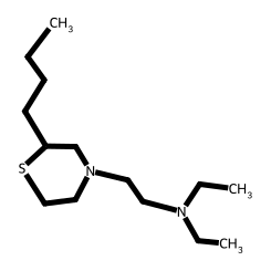 CCCCC1CN(CCN(CC)CC)CCS1